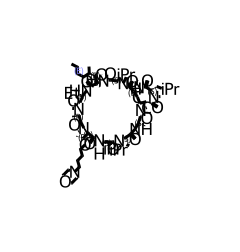 C/C=C/CC(C)[C@H]1ON2C(=O)[C@H](C(C)C)N(C)C(=O)[C@@H]3CC(C)N(CC(=O)N(C)[C@@H](CC(C)C)C(=O)N3C)C(=O)[C@H](C)NC(=O)[C@H](CC(C)C)N(C)C(=O)[C@H](C(C)C)NC(=O)[C@H]([C@@H](C)OCCCCN3CCOCC3)N(C)C(=O)[C@@H](C)N(C)C(=O)[C@H](CC)NC(=O)[C@H]12